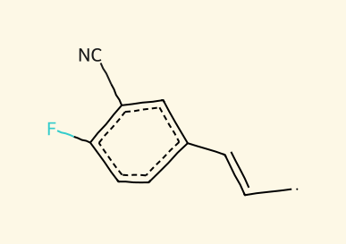 [CH2]/C=C/c1ccc(F)c(C#N)c1